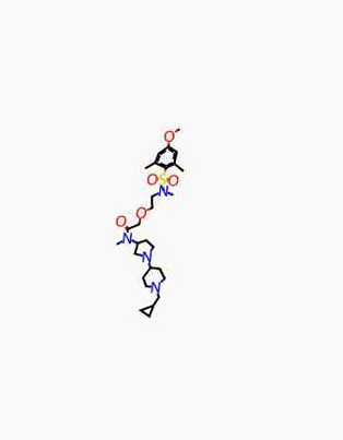 COc1cc(C)c(S(=O)(=O)N(C)CCOCC(=O)N(C)C2CCN(C3CCN(CC4CC4)CC3)C2)c(C)c1